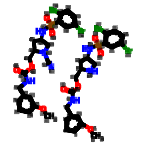 COc1cccc(CNC(=O)OC[C@H]2C[C@@H](NS(=O)(=O)c3cc(Br)ccc3Br)CN2)c1.COc1cccc(CNC(=O)OC[C@H]2C[C@@H](NS(=O)(=O)c3cc(Br)ccc3Br)CN2C#N)c1